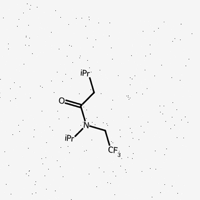 CC(C)CC(=O)N(CC(F)(F)F)C(C)C